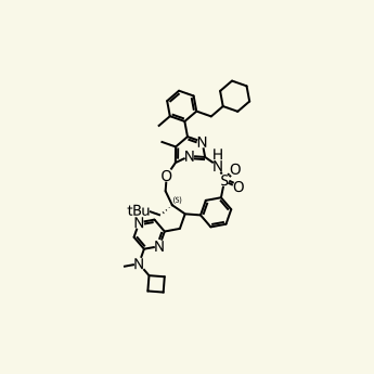 Cc1cccc(CC2CCCCC2)c1-c1nc2nc(c1C)OC[C@@H](CC(C)(C)C)C(Cc1cncc(N(C)C3CCC3)n1)c1cccc(c1)S(=O)(=O)N2